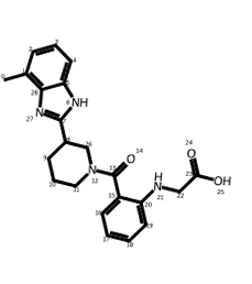 Cc1cccc2[nH]c(C3CCCN(C(=O)c4ccccc4NCC(=O)O)C3)nc12